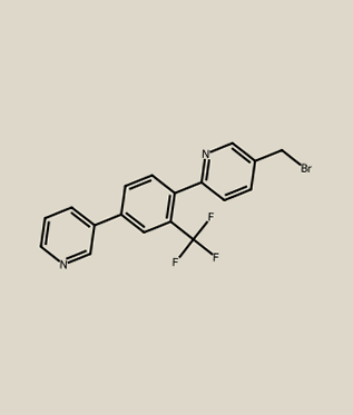 FC(F)(F)c1cc(-c2cccnc2)ccc1-c1ccc(CBr)cn1